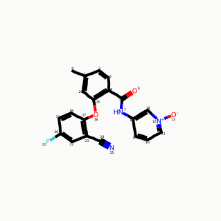 Cc1ccc(C(=O)Nc2ccc[n+]([O-])c2)c(Oc2ccc(F)cc2C#N)c1